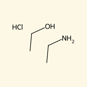 CCN.CCO.Cl